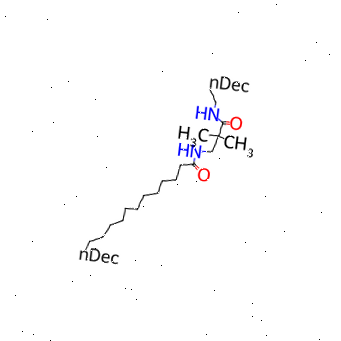 CCCCCCCCCCCCCCCCCCCCCC(=O)NCC(C)(C)C(=O)NCCCCCCCCCCCC